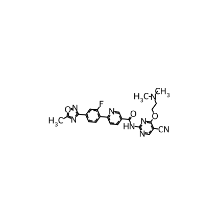 Cc1nc(-c2ccc(-c3ccc(C(=O)Nc4ncc(C#N)c(OCCN(C)C)n4)cn3)c(F)c2)no1